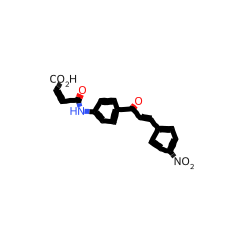 O=C(O)/C=C\C(=O)Nc1ccc(C(=O)/C=C/c2ccc([N+](=O)[O-])cc2)cc1